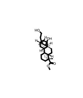 COC(=O)[C@]1(C)CCC[C@@]2(C)[C@@H]3C[C@@H]4CC[C@@]3(CC[C@@H]21)[C@H](O)[C@H]4CCO